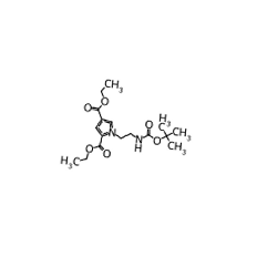 CCOC(=O)c1cc(C(=O)OCC)n(CCNC(=O)OC(C)(C)C)c1